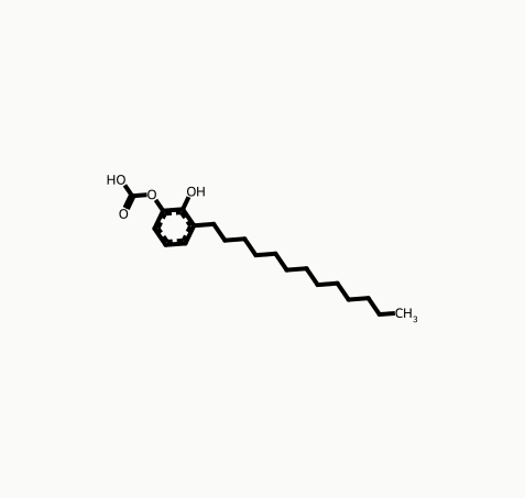 CCCCCCCCCCCCCc1cccc(OC(=O)O)c1O